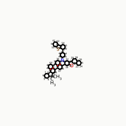 CC1(C)c2ccccc2-c2ccc(-c3ccc(-c4cc5oc6c7ccccc7ccc6c5cc4N(c4ccc(-c5ccccc5)cc4)c4ccc(-c5cccc6c5sc5ccccc56)cc4)cc3)cc21